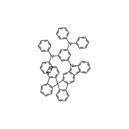 c1ccc(N(c2ccccc2)c2cc(N(c3ccccc3)c3ccccc3)cc(-n3c4ccccc4c4cc5c(cc43)C3(c4ccccc4-c4ccccc43)c3ccccc3-5)c2)cc1